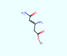 CCOC(=O)C/C(N)=C/C(N)=O